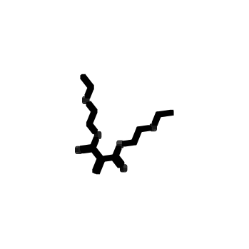 C=C(C(=O)OCCOCC)C(=O)OCCOCC